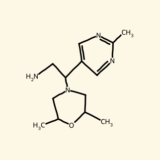 Cc1ncc(C(CN)N2CC(C)OC(C)C2)cn1